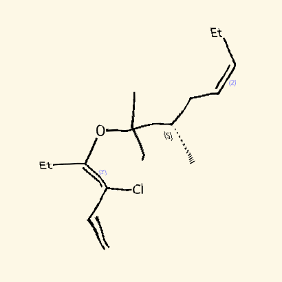 C=C/C(Cl)=C(\CC)OC(C)(C)[C@@H](C)C/C=C\CC